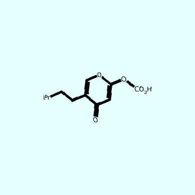 CC(C)CCc1coc(OC(=O)O)cc1=O